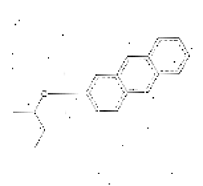 CCC(C)OC(C)(C)c1ccc2cc3ccccc3cc2c1